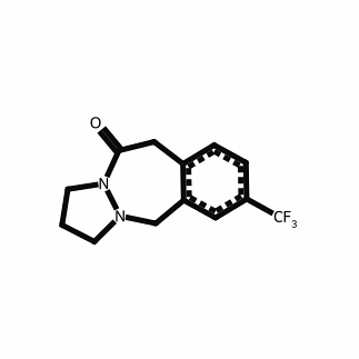 O=C1Cc2ccc(C(F)(F)F)cc2CN2CCCN12